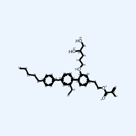 C=C(C)C(=O)OCCc1ccc(-c2ccc(-c3ccc(CCCCC)cc3)cc2CC)c(OCCCC(O)CO)c1